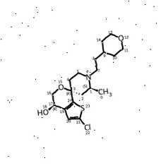 C[C@H]1C[C@@]2(CCN1CCC1CCOCC1)OC[C@H](O)c1cc(Cl)sc12